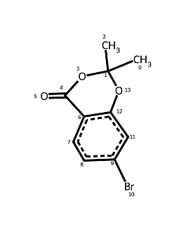 CC1(C)OC(=O)c2ccc(Br)cc2O1